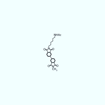 CC(=O)NCCCCCCN1C(=O)c2ccc(-c3ccc4c(c3)C(=O)N(C)C4=O)cc2C1=O